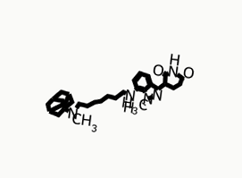 CN(CCCCCCCNc1cccc2c(C3CCC(=O)NC3=O)nn(C)c12)C12CC3CC(CC(C3)C1)C2